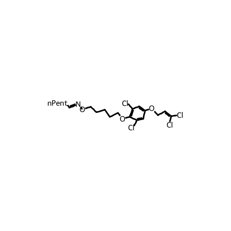 CCCCC/C=N/OCCCCCOc1c(Cl)cc(OCC=C(Cl)Cl)cc1Cl